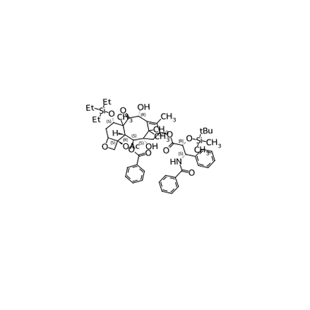 CC[Si](CC)(CC)O[C@H]1CC2OC[C@@]2(OC(C)=O)[C@H]2[C@H](OC(=O)c3ccccc3)[C@]3(O)C[C@H](OC(=O)[C@H](O[Si](C)(C)C(C)(C)C)[C@@H](NC(=O)c4ccccc4)c4ccccc4)C(C)=C([C@@H](O)C(=O)C12C)C3(C)C